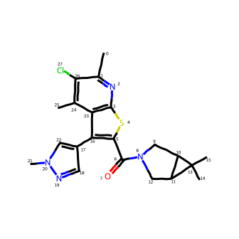 Cc1nc2sc(C(=O)N3CC4C(C3)C4(C)C)c(-c3cnn(C)c3)c2c(C)c1Cl